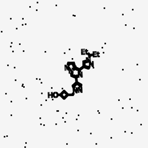 CCC(CC)n1cc(-c2nc(-c3cnn(CC4CC(O)C4)c3)cn3nccc23)cn1